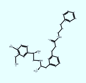 C[C@H](Cc1cccc(CCC(=O)NCCCc2ccccc2)c1)NC[C@H](O)c1ccc(O)c(CO)c1